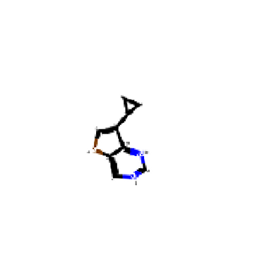 c1ncc2scc(C3CC3)c2n1